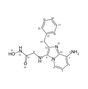 Nc1cccn2c(NCC(=O)NO)c(Cc3ccccc3)nc12